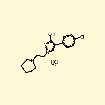 Cl.Cl.Oc1nn(CCN2CCCCC2)cc1-c1ccc(Cl)cc1